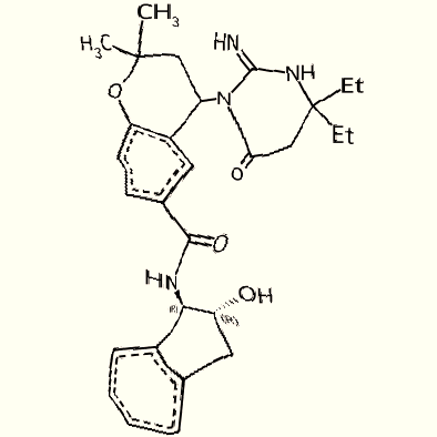 CCC1(CC)CC(=O)N(C2CC(C)(C)Oc3ccc(C(=O)N[C@@H]4c5ccccc5C[C@H]4O)cc32)C(=N)N1